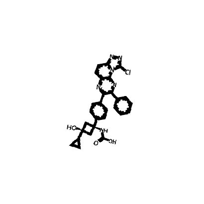 O=C(O)N[C@]1(c2ccc(-c3nc4ccc5nnc(Cl)n5c4nc3-c3ccccc3)cc2)C[C@@](O)(C2CC2)C1